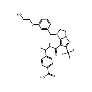 CC(NC(=O)c1c(C(F)(F)F)nn2c1N(Cc1cccc(OCCO)c1)CC2)c1ccc(C(=O)O)cc1